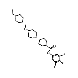 CC[C@H]1CC[C@H](COC2CCC([C@H]3CC[C@H](C(=O)Oc4cc(F)c(F)c(F)c4)CC3)CC2)CC1